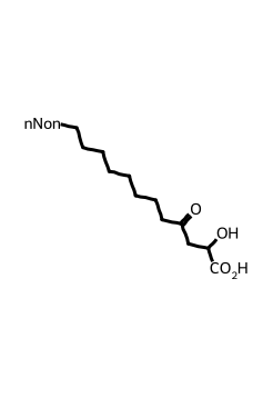 CCCCCCCCCCCCCCCCCC(=O)CC(O)C(=O)O